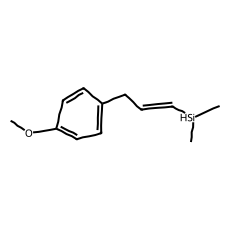 COc1ccc(CC=C[SiH](C)C)cc1